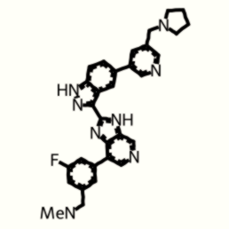 CNCc1cc(F)cc(-c2cncc3[nH]c(-c4n[nH]c5ccc(-c6cncc(CN7CCCC7)c6)cc45)nc23)c1